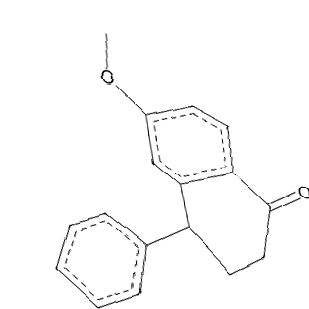 COc1ccc2c(c1)C(c1ccccc1)CCC2=O